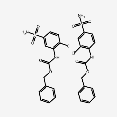 NS(=O)(=O)c1ccc(Cl)c(NC(=O)OCc2ccccc2)c1.NS(=O)(=O)c1ccc(NC(=O)OCc2ccccc2)c(Cl)c1